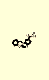 COc1ccccc1CN1CCOc2ccc(C(=O)NO)cc21